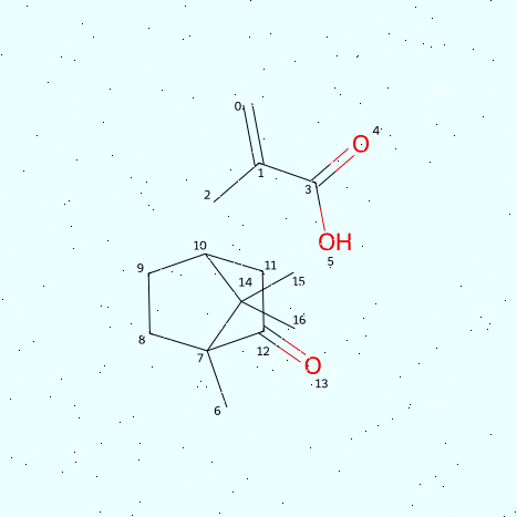 C=C(C)C(=O)O.CC12CCC(CC1=O)C2(C)C